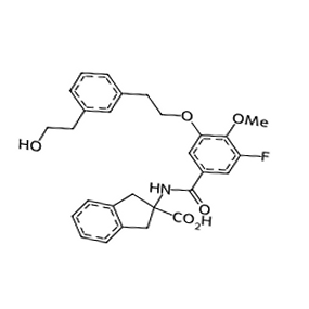 COc1c(F)cc(C(=O)NC2(C(=O)O)Cc3ccccc3C2)cc1OCCc1cccc(CCO)c1